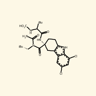 CCC(C)C(NC(=O)O)C(=O)N[C@]1(C(=O)N(C[C@@H](C)CC)C(N)=O)CCc2[nH]c3c(Cl)cc(Cl)cc3c2C1